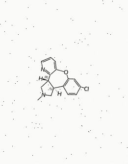 CN1C[C@@H]2c3ccc(Cl)cc3Oc3cccnc3[C@H]2C1